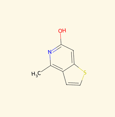 Cc1nc(O)cc2sccc12